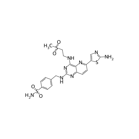 CS(=O)(=O)CCNc1nc(NCc2ccc(S(N)(=O)=O)cc2)nc2ccc(-c3cnc(N)s3)nc12